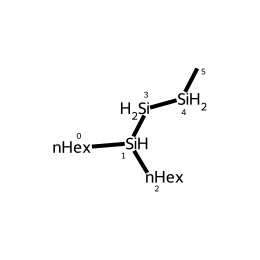 CCCCCC[SiH](CCCCCC)[SiH2][SiH2]C